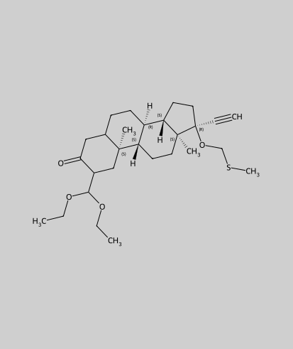 C#C[C@@]1(OCSC)CC[C@H]2[C@@H]3CCC4CC(=O)C(C(OCC)OCC)C[C@]4(C)[C@H]3CC[C@@]21C